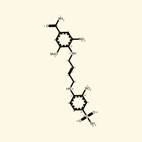 COc1cc(C(N)=O)cc([N+](=O)[O-])c1NC/C=C/CNc1ccc(S(N)(=O)=O)cc1[N+](=O)[O-]